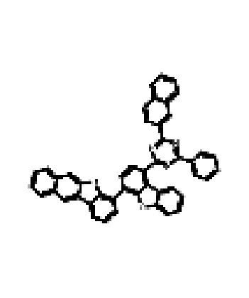 c1ccc(-c2nc(-c3ccc4ccccc4c3)nc(-c3ccc(-c4cccc5c4oc4cc6ccccc6cc45)c4oc5ccccc5c34)n2)cc1